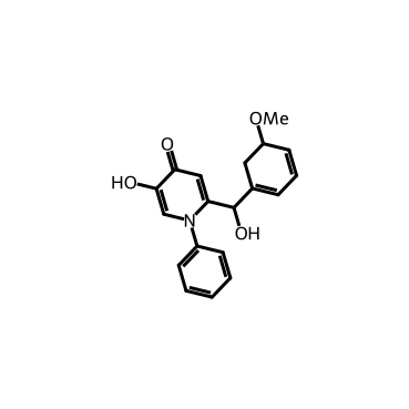 COC1C=CC=C(C(O)c2cc(=O)c(O)cn2-c2ccccc2)C1